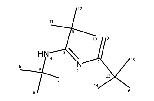 C=C(/N=C(/NC(C)(C)C)C(C)(C)C)C(C)(C)C